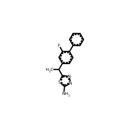 CC(c1ccc(-c2ccccc2)c(F)c1)c1nnc(N)s1